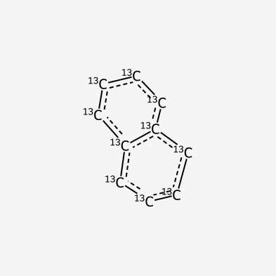 [13cH]1[13cH][13cH][13c]2[13cH][13cH][13cH][13cH][13c]2[13cH]1